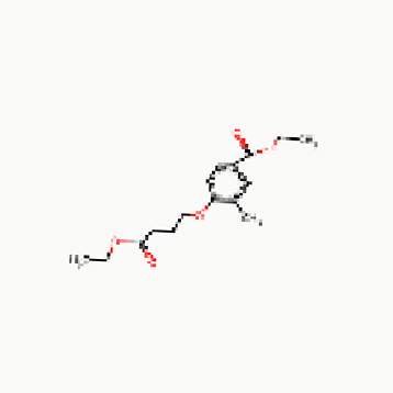 CCOC(=O)CCCOc1ccc(C(=O)OCC)cc1C